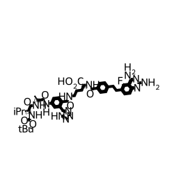 CC(C)[C@H](NC(=O)OC(C)(C)C)C(=O)N[C@@H](C)C(=O)Nc1ccc(C(=O)NCCC[C@H](NC(=O)c2ccc(CCc3ccc4nc(N)nc(N)c4c3F)cc2)C(=O)O)c(-c2nnn[nH]2)c1